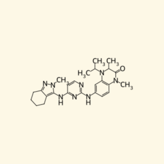 CC(C)N1c2cc(Nc3nccc(Nc4c5c(nn4C)CCCC5)n3)ccc2N(C)C(=O)C1C